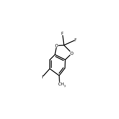 Cc1cc2c(cc1I)OC(F)(F)O2